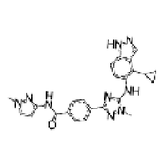 Cn1ccc(NC(=O)c2ccc(-c3nc(Nc4ccc5[nH]ncc5c4C4CC4)n(C)n3)cc2)n1